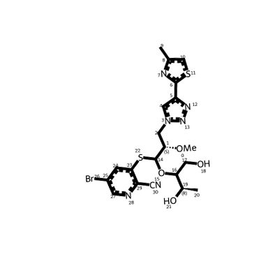 CO[C@@H](Cn1cc(-c2nc(C)cs2)nn1)C(OC(CO)[C@@H](C)O)Sc1cc(Br)cnc1C#N